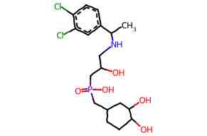 CC(NCC(O)CP(=O)(O)CC1CCC(O)C(O)C1)c1ccc(Cl)c(Cl)c1